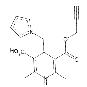 C#CCOC(=O)C1=C(C)NC(C)=C(C(=O)O)C1Cn1cccc1